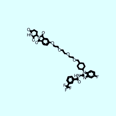 O=C1CCC(N2C(=O)c3ccc(OCCOCCOCCOCC4CCC(n5c(NC(=O)c6cccc(C(F)(F)F)c6)nc6cc(F)ccc65)CC4)cc3C2=O)C(=O)N1